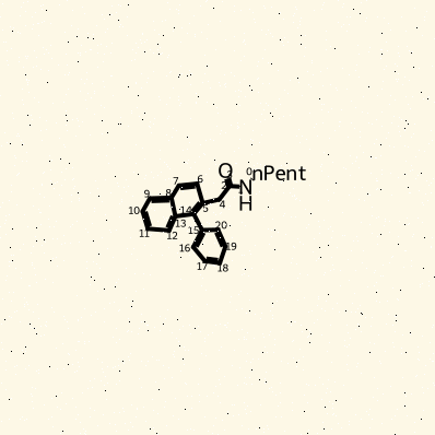 CCCCCNC(=O)Cc1ccc2ccccc2c1-c1ccccc1